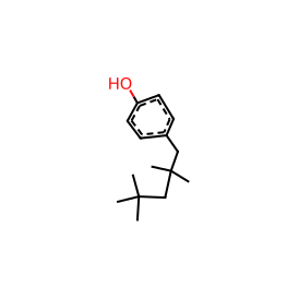 CC(C)(C)CC(C)(C)Cc1ccc(O)cc1